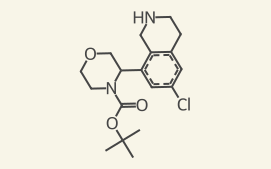 CC(C)(C)OC(=O)N1CCOCC1c1cc(Cl)cc2c1CNCC2